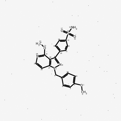 COc1ccc(Cn2nc(-c3ccc(S(N)(=O)=O)cc3)c3c(OC)nccc32)cc1